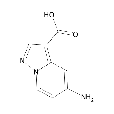 Nc1ccn2ncc(C(=O)O)c2c1